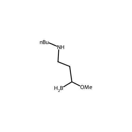 BC(CCNCCCC)OC